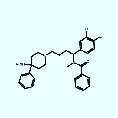 CC(=O)NC1(c2ccccc2)CCN(CCCC(c2ccc(Cl)c(Cl)c2)N(C)C(=O)c2ccccc2)CC1